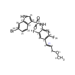 COC/C=C/c1cc(F)c(NS(=O)(=O)c2c[nH]c3cc(Br)ccc23)nc1F